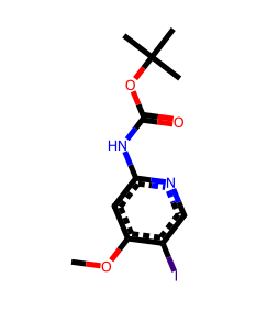 COc1cc(NC(=O)OC(C)(C)C)ncc1I